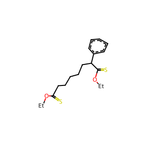 CCOC(=S)CCCCCC(C(=S)OCC)c1ccccc1